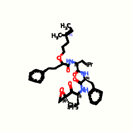 C/C=C(\C)CCCOC(CCc1ccccc1)C(=O)N[C@@H](CC(C)C)C(=O)N[C@@H](Cc1ccccc1)C(=O)N[C@@H](CC(C)C)C(=O)[C@@]1(C)CO1